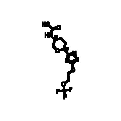 O=C(O)N[C@@H]1CC[C@@H](c2nnc(OCCOC(F)(F)F)s2)OC1